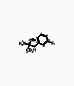 CC(C)(C)C(N)(Cc1cccc(F)c1)C(=O)O